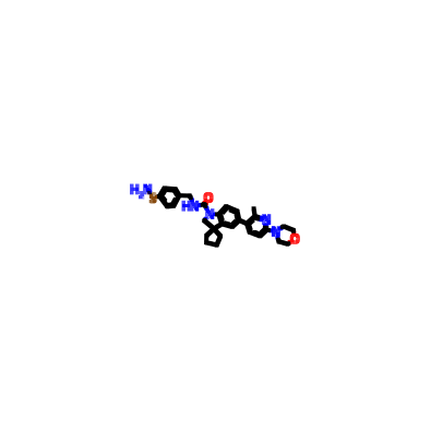 Cc1nc(N2CCOCC2)ccc1-c1ccc2c(c1)C1(CCCC1)CN2C(=O)NCc1ccc(SN)cc1